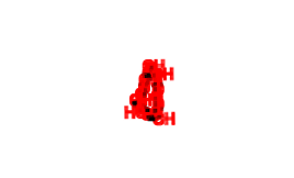 OCCOCCOCCOCCOCCOC(CO)OCC(O)COc1ccccc1.OCCOCCOCCOCCOCCOCCO